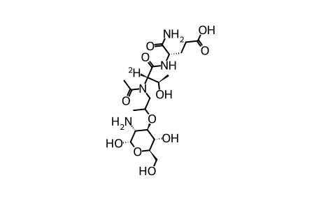 [2H][C@@](C(=O)N[C@@H](CCC(=O)O)C(N)=O)([C@@H](C)O)N(CC(C)O[C@@H]1[C@@H](N)[C@@H](O)O[C@H](CO)[C@H]1O)C(C)=O